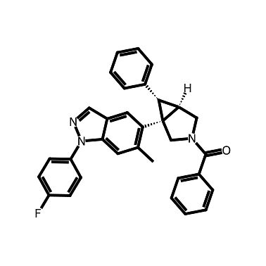 Cc1cc2c(cnn2-c2ccc(F)cc2)cc1[C@@]12CN(C(=O)c3ccccc3)C[C@@H]1[C@H]2c1ccccc1